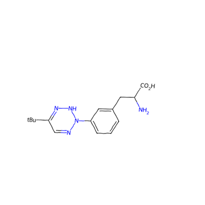 CC(C)(C)C1=NNN(c2cccc(CC(N)C(=O)O)c2)N=C1